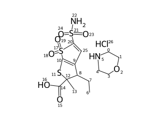 C1COCCN1.CCC1C2=C(SC1(C)C(=O)O)S(=O)(=O)C(S(N)(=O)=O)=C2.Cl